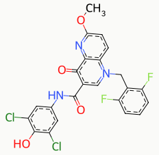 COc1ccc2c(n1)c(=O)c(C(=O)Nc1cc(Cl)c(O)c(Cl)c1)cn2Cc1c(F)cccc1F